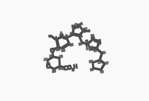 Cc1nc(-c2nnn(C)c2Cn2nnc(CC3CCCC3)n2)ccc1OC1COCC(C(=O)O)C1